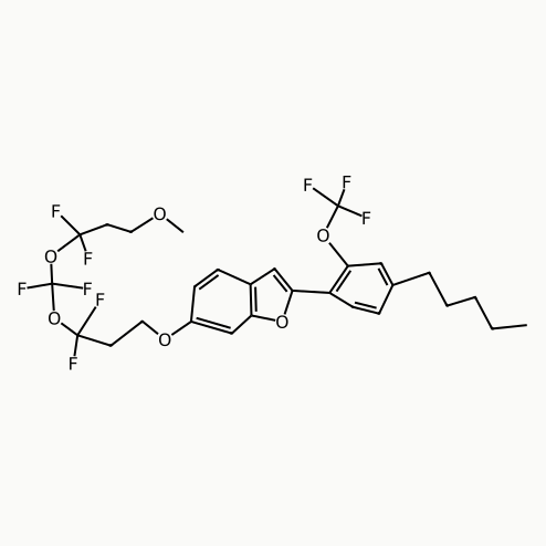 CCCCCc1ccc(-c2cc3ccc(OCCC(F)(F)OC(F)(F)OC(F)(F)CCOC)cc3o2)c(OC(F)(F)F)c1